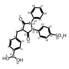 O=C1C(Cc2ccc(B(O)O)cc2)C(=O)N(c2ccc(S(=O)(=O)O)cc2)N1c1ccccc1